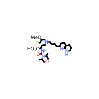 COC(CF)CN(CCCCc1ccc2c(n1)NCCC2)CCC(NC(=O)N1C(C)COCC1C)C(=O)O